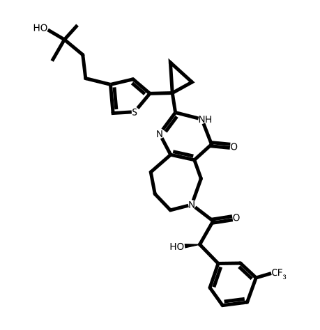 CC(C)(O)CCc1csc(C2(c3nc4c(c(=O)[nH]3)CN(C(=O)[C@H](O)c3cccc(C(F)(F)F)c3)CCC4)CC2)c1